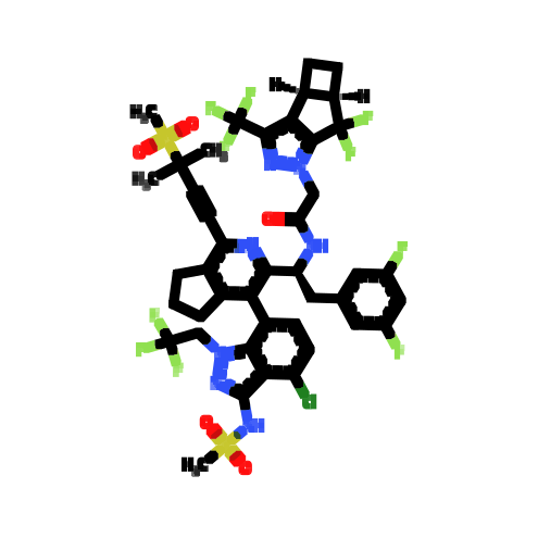 CC(C)(C#Cc1nc([C@H](Cc2cc(F)cc(F)c2)NC(=O)Cn2nc(C(F)(F)F)c3c2C(F)(F)[C@@H]2CC[C@H]32)c(-c2ccc(Cl)c3c(NS(C)(=O)=O)nn(CC(F)(F)F)c23)c2c1CCC2)S(C)(=O)=O